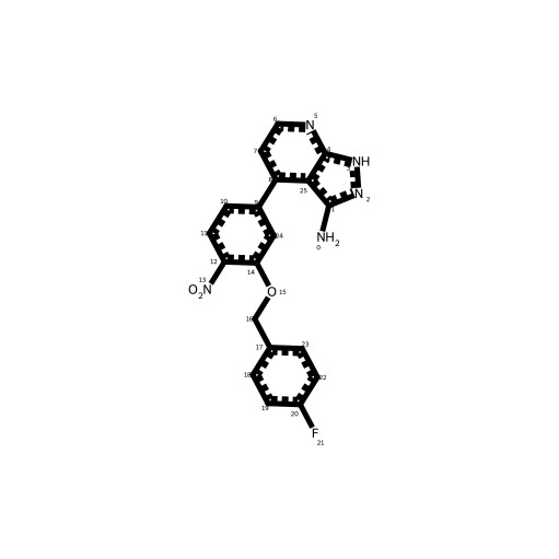 Nc1n[nH]c2nccc(-c3ccc([N+](=O)[O-])c(OCc4ccc(F)cc4)c3)c12